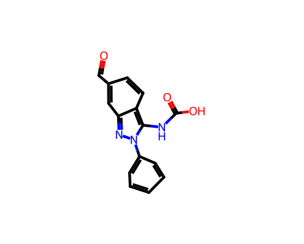 O=Cc1ccc2c(NC(=O)O)n(-c3ccccc3)nc2c1